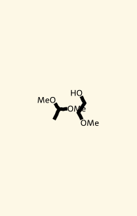 COC(C)OC.COCCO